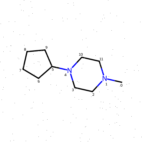 CN1CCN(C2CCCC2)CC1